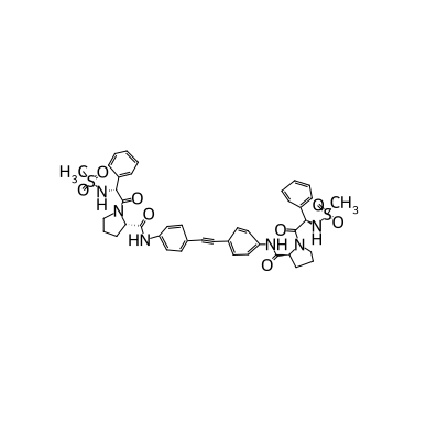 CS(=O)(=O)N[C@@H](C(=O)N1CCC[C@H]1C(=O)Nc1ccc(C#Cc2ccc(NC(=O)[C@@H]3CCCN3C(=O)[C@H](NS(C)(=O)=O)c3ccccc3)cc2)cc1)c1ccccc1